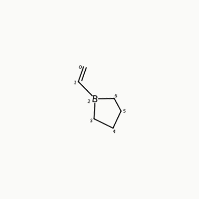 C=CB1CCCC1